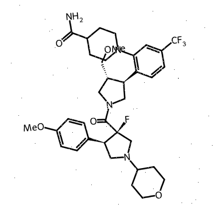 COC[C@H]1CN(C(=O)[C@]2(F)CN(C3CCOCC3)C[C@H]2c2ccc(OC)cc2)C[C@@H]1c1ccc(C(F)(F)F)cc1N1CCC(C(N)=O)CC1